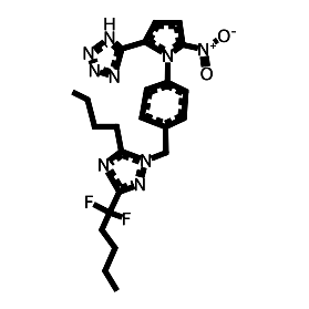 CCCCc1nc(C(F)(F)CCCC)nn1Cc1ccc(-n2c(-c3nnn[nH]3)ccc2[N+](=O)[O-])cc1